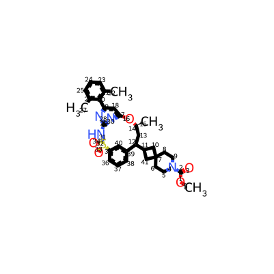 COC(=O)N1CCC2(CC1)CC(C1C[C@@H](C)Oc3cc(-c4c(C)cccc4C)nc(n3)NS(=O)(=O)c3cccc1c3)C2